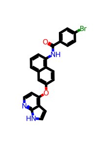 O=C(Nc1cccc2cc(Oc3ccnc4[nH]ccc34)ccc12)c1ccc(Br)cc1